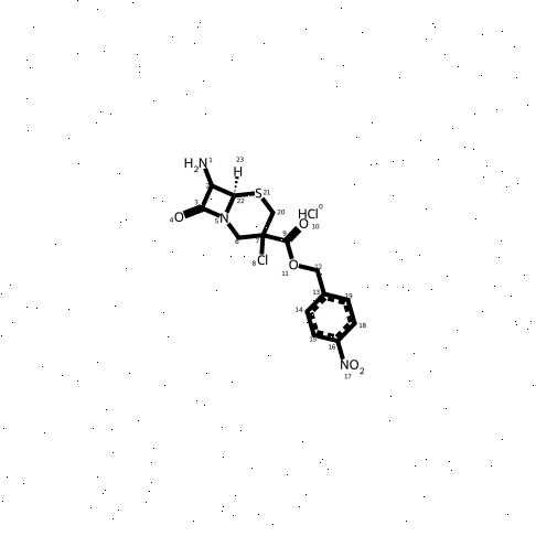 Cl.NC1C(=O)N2CC(Cl)(C(=O)OCc3ccc([N+](=O)[O-])cc3)CS[C@H]12